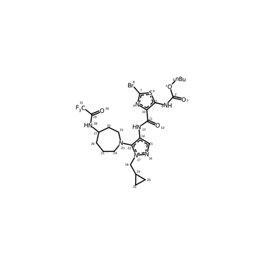 CCCCOC(=O)Nc1sc(Br)nc1C(=O)Nc1cnn(CC2CC2)c1N1CCCC(NC(=O)C(F)(F)F)CC1